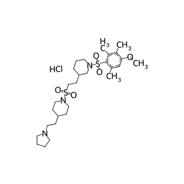 COc1cc(C)c(S(=O)(=O)N2CCCC(CCS(=O)(=O)N3CCC(CCN4CCCC4)CC3)C2)c(C)c1C.Cl